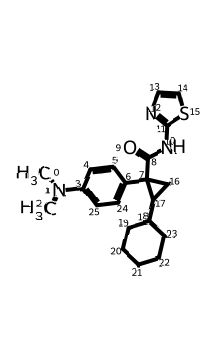 CN(C)c1ccc(C2(C(=O)Nc3nccs3)CC2C2CCCCC2)cc1